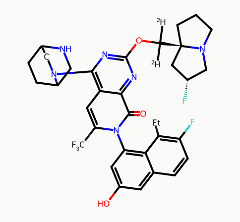 [2H]C([2H])(Oc1nc(N2CC3CCC2CN3)c2cc(C(F)(F)F)n(-c3cc(O)cc4ccc(F)c(CC)c34)c(=O)c2n1)[C@@]12CCCN1C[C@H](F)C2